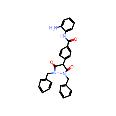 Nc1ccccc1NC(=O)c1ccc(C(C(=O)NCc2ccccc2)C(=O)NCc2ccccc2)cc1